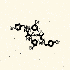 Brc1ccc(Cn2nnc(-c3cnn(-c4cccc(Br)c4)c3SSc3c(-c4nnn(Cc5ccc(Br)cc5)n4)cnn3-c3cccc(Br)c3)n2)cc1